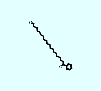 O=[C]CCCCCCCCCCCCCCCCCCC(=O)c1ccccc1